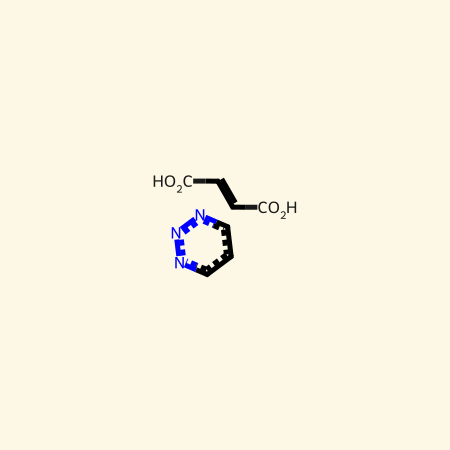 O=C(O)C=CC(=O)O.c1cnnnc1